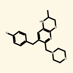 CC1COc2nc(CN3CCOCC3)c(Cc3ccc(F)cc3)cc2N1